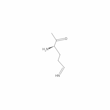 CC(=O)[C@H](N)CCC=N